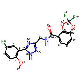 COc1ccc(F)cc1-c1nc(CNC(=O)c2cccc3c2OC(F)(F)O3)n[nH]1